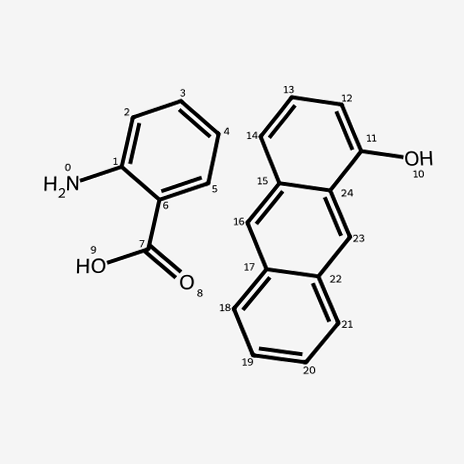 Nc1ccccc1C(=O)O.Oc1cccc2cc3ccccc3cc12